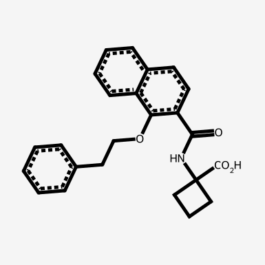 O=C(NC1(C(=O)O)CCC1)c1ccc2ccccc2c1OCCc1ccccc1